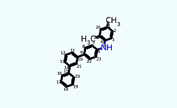 Cc1ccc(Nc2ccc(-c3cccc(-c4ccccc4)c3)cc2)c(C)c1